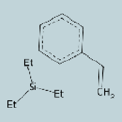 C=Cc1ccccc1.CC[Si](CC)CC